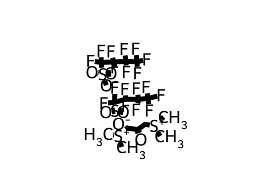 C[S+](C)CC(=O)C[S+](C)C.O=S(=O)([O-])C(F)(F)C(F)(F)C(F)(F)C(F)(F)F.O=S(=O)([O-])C(F)(F)C(F)(F)C(F)(F)C(F)(F)F